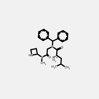 CC(C)C[C@H](N)C(=O)N(CC(=O)N(C)C1CCN1)C(c1ccccc1)c1ccccc1